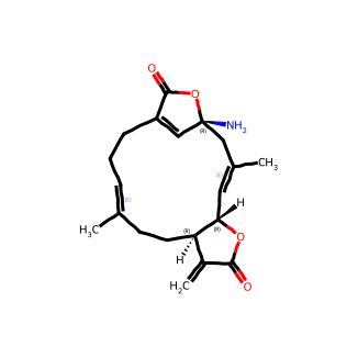 C=C1C(=O)O[C@H]2/C=C(\C)C[C@]3(N)C=C(CC/C=C(\C)CC[C@H]12)C(=O)O3